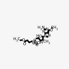 CCOC(=O)CCCO[P@@]1(=O)OC[C@H]2O[C@@H](n3cnc4c(OC)nc(N)nc43)[C@@H](C)[C@@H]2O1